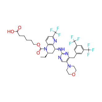 CC[C@@H]1C[C@H](Nc2ncc(N3CCOCC3)c(Cc3cc(C(F)(F)F)cc(C(F)(F)F)c3)n2)c2nc(C(F)(F)F)ccc2N1C(=O)OCCCCCC(=O)O